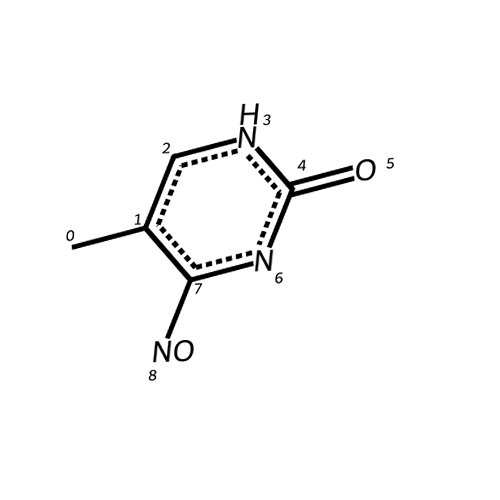 Cc1c[nH]c(=O)nc1N=O